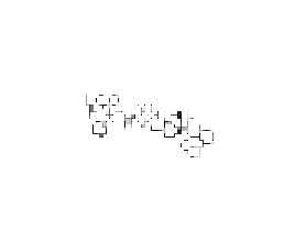 CC(=O)NC1(c2ccccc2)CCN(C(=O)NC(Cc2ccc(NC(=O)c3c(Cl)cccc3Cl)cc2)C(=O)O)CC1